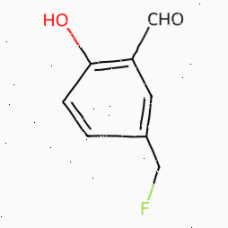 O=Cc1cc(CF)ccc1O